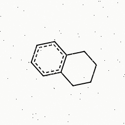 [c]1c[c]c2c(c1)CCCC2